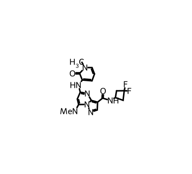 CNc1cc(Nc2cccn(C)c2=O)nc2c(C(=O)NC3CC(F)(F)C3)cnn12